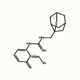 C=c1cccc(NC(=N)NCC23CC4CC(CC2C4)C3)/c1=C/C(C)C